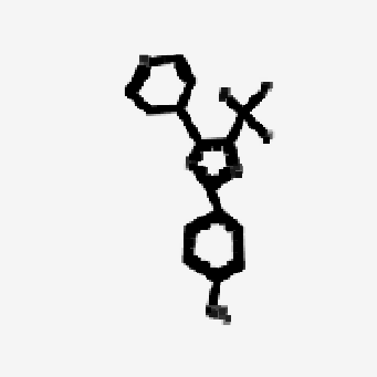 Nc1ccc(-c2nc(C3C=CN=CC3)c(C(F)(F)F)o2)cc1